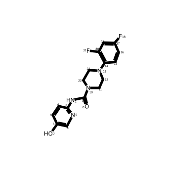 O=C(Nc1ccc(O)cn1)N1CCN(c2ccc(F)cc2F)CC1